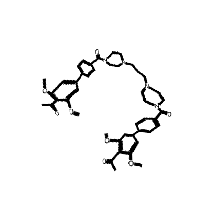 COc1cc(-c2ccc(C(=O)N3CCN(CCCN4CCN(C(=O)c5ccc(-c6cc(OC)c(C(C)=O)c(OC)c6)cc5)CC4)CC3)cc2)cc(OC)c1C(C)=O